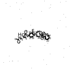 CC(=O)NC[C@H]1CN(c2ccc(N3CCON(S(=O)(=O)c4ccccn4)CC3)c(F)c2)C(=O)O1